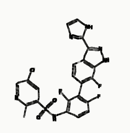 Cc1ncc(Cl)cc1S(=O)(=O)Nc1ccc(F)c(-c2ccc3c(-c4ncc[nH]4)n[nH]c3c2F)c1F